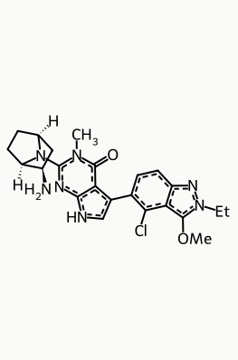 CCn1nc2ccc(-c3c[nH]c4nc(N5[C@H]6CC[C@@H]5[C@H](N)C6)n(C)c(=O)c34)c(Cl)c2c1OC